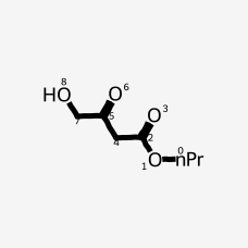 CCCOC(=O)CC(=O)CO